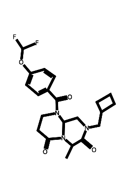 CC1C(=O)N(CC2CCC2)CC2N(C(=O)c3ccc(OC(F)F)cc3)CCC(=O)N12